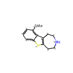 COc1cccc2sc3c(c12)CCNCC3